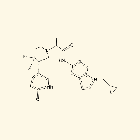 CC(C(=O)Nc1cc2ccn(CC3CC3)c2cn1)N1CCC(F)(F)[C@@H](c2ccc(=O)[nH]c2)C1